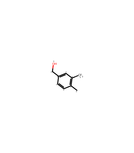 Cc1ccc([CH]O)cc1C(F)(F)F